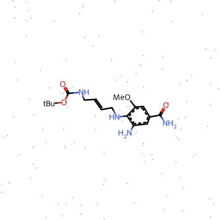 COc1cc(C(N)=O)cc(N)c1NCC=CCNC(=O)OC(C)(C)C